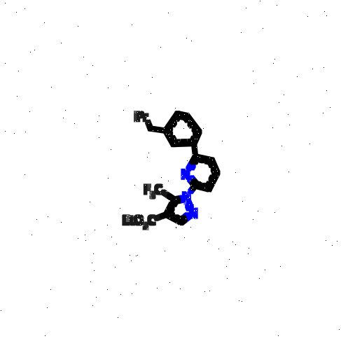 CCOC(=O)c1cnn(-c2cccc(-c3cccc(CC(C)C)c3)n2)c1C(F)(F)F